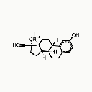 C#C[C@]1(O)CC[C@H]2[C@@H]3CCc4ccc(O)cc4[C@H]3CC[C@@]21C